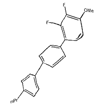 CCCc1ccc(-c2ccc(-c3ccc(OC)c(F)c3F)cc2)cc1